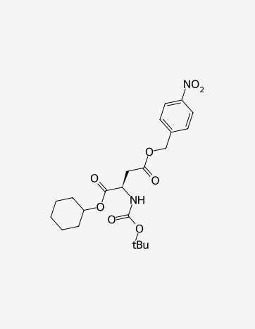 CC(C)(C)OC(=O)N[C@H](CC(=O)OCc1ccc([N+](=O)[O-])cc1)C(=O)OC1CCCCC1